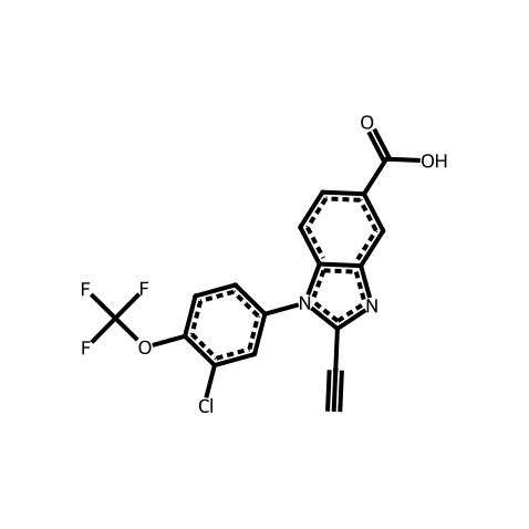 C#Cc1nc2cc(C(=O)O)ccc2n1-c1ccc(OC(F)(F)F)c(Cl)c1